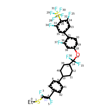 CCS/C(F)=C(\F)c1ccc(C2CCC(C(F)(F)Oc3ccc(-c4cc(F)c(S(F)(F)(F)(F)F)c(F)c4)c(F)c3)CC2)cc1